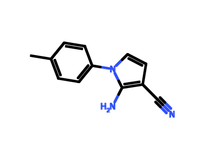 Cc1ccc(-n2ccc(C#N)c2N)cc1